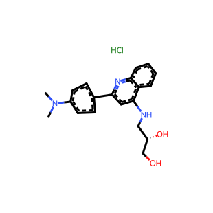 CN(C)c1ccc(-c2cc(NC[C@H](O)CO)c3ccccc3n2)cc1.Cl